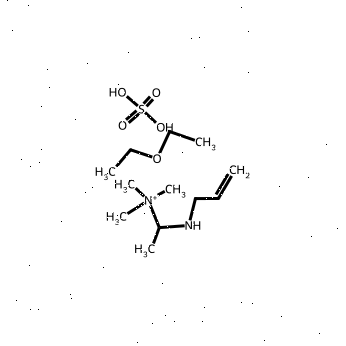 C=CCNC(C)[N+](C)(C)C.CCOCC.O=S(=O)(O)O